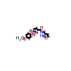 COc1ccc(S(=O)(=O)n2ccc(C(=O)NCc3ccon3)n2)cc1